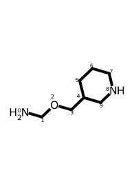 NCOCC1CCCNC1